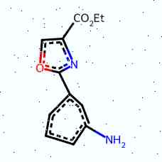 CCOC(=O)c1coc(-c2cccc(N)c2)n1